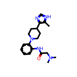 Cc1[nH]cnc1C1CCN(c2ccccc2NC(=O)CN(C)C)CC1